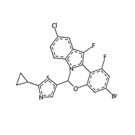 Fc1cc(Br)cc2c1-c1c(F)c3cc(Cl)ccc3n1C(c1cnc(C3CC3)s1)O2